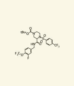 CC(C)(C)OC(=O)N1CCN(S(=O)(=O)c2ccc(C(F)(F)F)cc2)C(C(=O)NCc2ccc(OC(F)(F)F)c(F)c2)C1